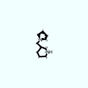 c1ccn(CC2CCCNC2)c1